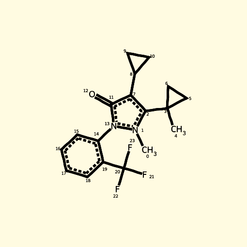 Cn1c(C2(C)CC2)c(C2CC2)c(=O)n1-c1ccccc1C(F)(F)F